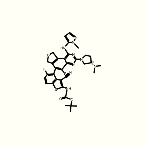 CN(C)[C@H]1CCN(c2nc(Nc3ccnn3C)c3c4c(c(-c5c(F)ccc6sc(NC(=O)OC(C)(C)C)c(C#N)c56)c(F)c3n2)COC4)C1